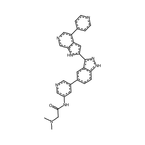 CN(C)CC(=O)Nc1cncc(-c2ccc3[nH]nc(-c4cc5c(-c6ccncc6)cncc5[nH]4)c3c2)c1